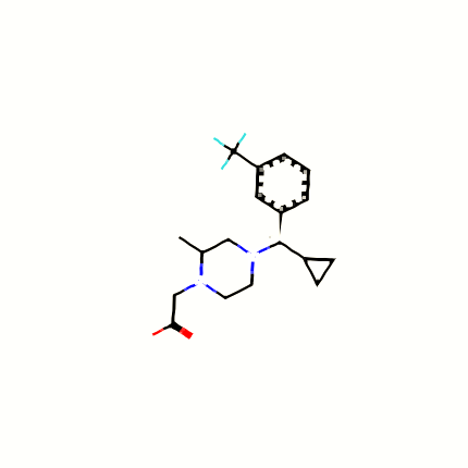 CC1CN([C@@H](c2cccc(C(F)(F)F)c2)C2CC2)CCN1CC(=O)O